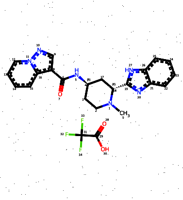 CN1CC[C@@H](NC(=O)c2cnn3ccccc23)C[C@@H]1c1nc2ccccc2[nH]1.O=C(O)C(F)(F)F